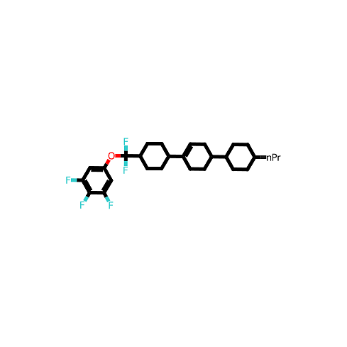 CCCC1CCC(C2CC=C(C3CCC(C(F)(F)Oc4cc(F)c(F)c(F)c4)CC3)CC2)CC1